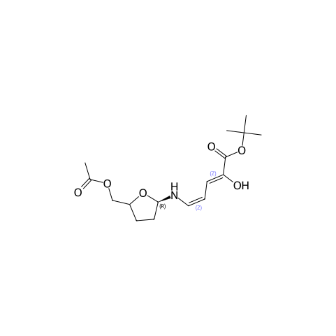 CC(=O)OCC1CC[C@H](N/C=C\C=C(/O)C(=O)OC(C)(C)C)O1